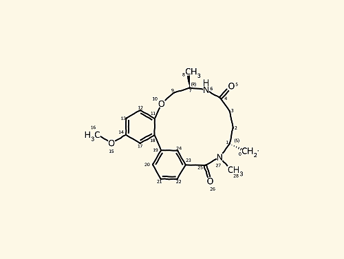 [CH2][C@H]1CCC(=O)N[C@H](C)COc2ccc(OC)cc2-c2cccc(c2)C(=O)N1C